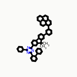 CC1(C)c2cc(-c3cccc(-c4ccc5ccc6cccc7ccc4c5c67)c3)ccc2-c2ccc(-c3nc(-c4ccccc4)nc(-c4ccccc4-c4ccccc4)n3)cc21